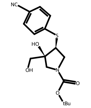 CC(C)(C)OC(=O)N1C[C@H](Sc2ccc(C#N)cc2)[C@@](O)(CO)C1